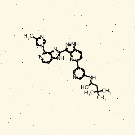 Cc1cn(-c2nccc3[nH]c(-c4n[nH]c5ccc(-c6cncc(NC(O)CC(C)(C)C)c6)nc45)nc23)cn1